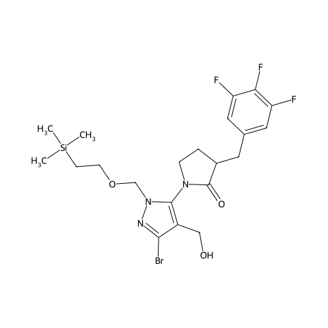 C[Si](C)(C)CCOCn1nc(Br)c(CO)c1N1CCC(Cc2cc(F)c(F)c(F)c2)C1=O